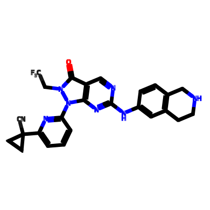 N#CC1(c2cccc(-n3c4nc(Nc5ccc6c(c5)CCNC6)ncc4c(=O)n3CC(F)(F)F)n2)CC1